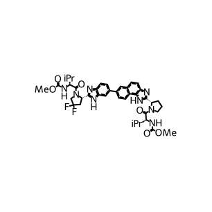 COC(=O)N[C@H](C(=O)N1CC(F)(F)C[C@H]1c1nc2ccc(-c3ccc4c(ccc5nc([C@@H]6CCCN6C(=O)[C@@H](NC(=O)OC)C(C)C)[nH]c54)c3)cc2[nH]1)C(C)C